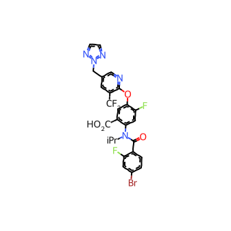 CC(C)N(C(=O)c1ccc(Br)cc1F)c1cc(F)c(Oc2ncc(Cn3nccn3)cc2C(F)(F)F)cc1C(=O)O